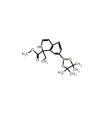 CCC1(C(=O)OC)NC=Cc2ccc(B3OC(C)(C)C(C)(C)O3)cc21